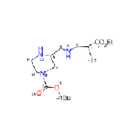 CCOC(=O)C(CC)CNCC1CN(C(=O)OC(C)(C)C)CCN1